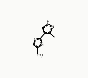 Cc1n[nH]cc1-c1nc(C(=O)O)co1